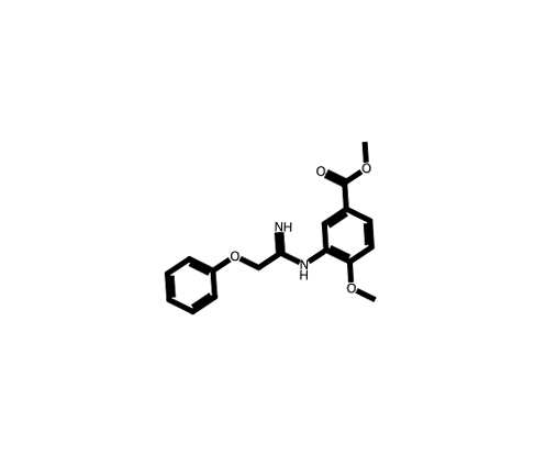 COC(=O)c1ccc(OC)c(NC(=N)COc2ccccc2)c1